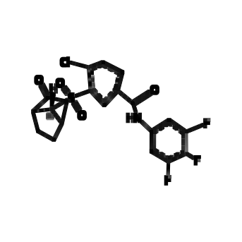 O=C(Nc1cc(F)c(F)c(F)c1)c1ccc(Cl)c(S(=O)(=O)[C@@H]2C3CCC2C(=O)C3)c1